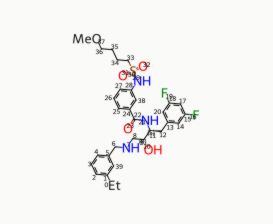 CCc1cccc(CNC[C@@H](O)[C@H](Cc2cc(F)cc(F)c2)NC(=O)c2cccc(NS(=O)(=O)CCCCOC)c2)c1